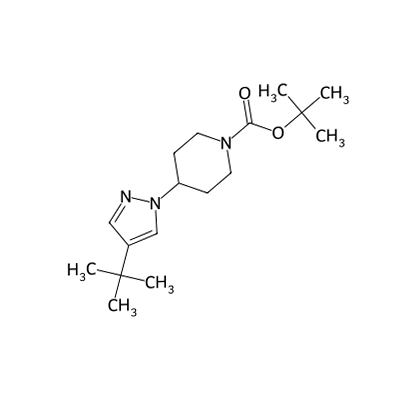 CC(C)(C)OC(=O)N1CCC(n2cc(C(C)(C)C)cn2)CC1